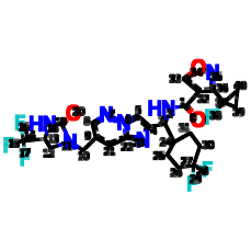 O=C(N[C@H](c1cn2ncc(CN3C[C@@H](C(F)(F)F)NC3=O)cc2n1)C1CCC(F)(F)CC1)c1conc1C1(F)CC1